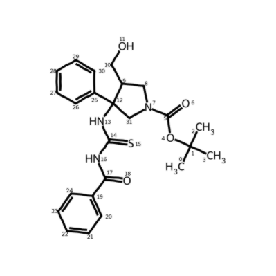 CC(C)(C)OC(=O)N1CC(CO)C(NC(=S)NC(=O)c2ccccc2)(c2ccccc2)C1